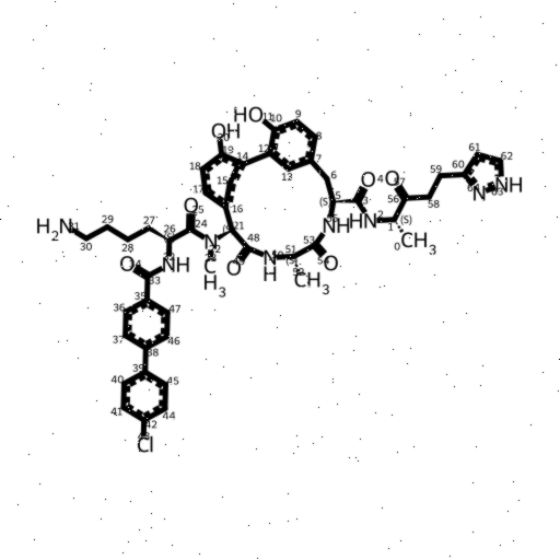 C[C@H](NC(=O)[C@@H]1Cc2ccc(O)c(c2)-c2cc(ccc2O)[C@H](N(C)C(=O)[C@H](CCCCN)NC(=O)c2ccc(-c3ccc(Cl)cc3)cc2)C(=O)N[C@@H](C)C(=O)N1)C(=O)CCc1cc[nH]n1